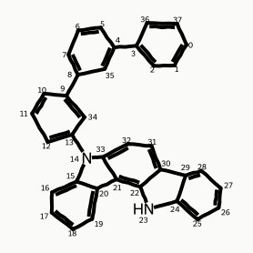 c1ccc(-c2cccc(-c3cccc(-n4c5ccccc5c5c6[nH]c7ccccc7c6ccc54)c3)c2)cc1